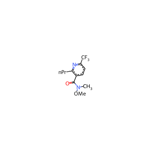 CCCc1nc(C(F)(F)F)ccc1C(=O)N(C)OC